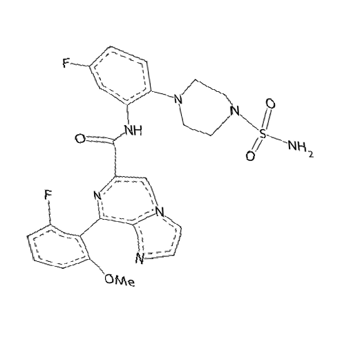 COc1cccc(F)c1-c1nc(C(=O)Nc2cc(F)ccc2N2CCN(S(N)(=O)=O)CC2)cn2ccnc12